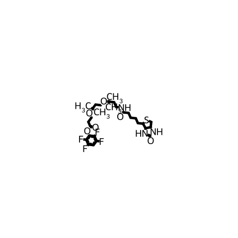 CC(C)(CCNC(=O)CCCCC1SCC2NC(=O)NC21)OCCC(C)(C)OCCC(=O)Oc1c(F)c(F)cc(F)c1F